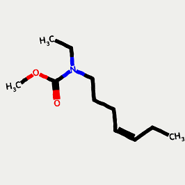 CC/C=C\CCCN(CC)C(=O)OC